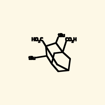 CC(C)(C)C1C2CC3CC(C(=O)O)(C2)C(C(C)(C)C)C1(C(=O)O)C3